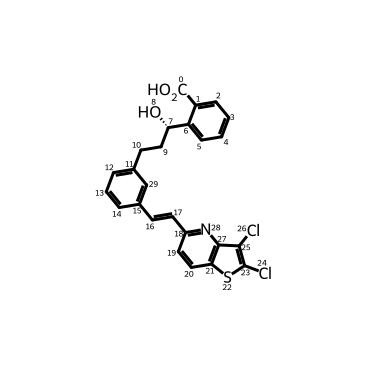 O=C(O)c1ccccc1[C@@H](O)CCc1cccc(/C=C/c2ccc3sc(Cl)c(Cl)c3n2)c1